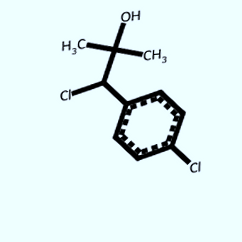 CC(C)(O)C(Cl)c1ccc(Cl)cc1